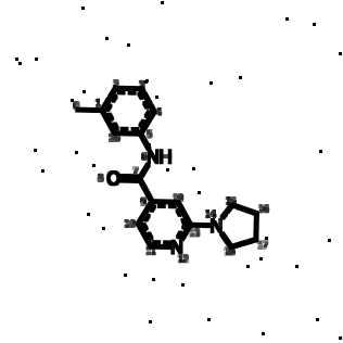 Cc1cccc(NC(=O)c2ccnc(N3CCCC3)c2)c1